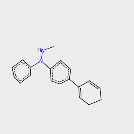 CNN(c1ccccc1)c1ccc(C2=CCCC=C2)cc1